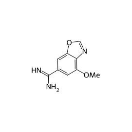 COc1cc(C(=N)N)cc2ocnc12